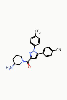 N#Cc1ccc(-c2cc(C(=O)N3CCCC(N)C3)nn2-c2ccc(C(F)(F)F)cc2)cc1